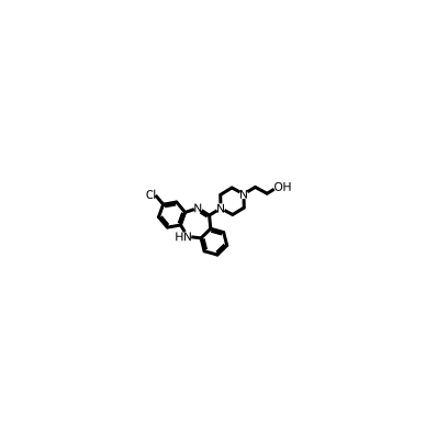 OCCN1CCN(C2=Nc3cc(Cl)ccc3Nc3ccccc32)CC1